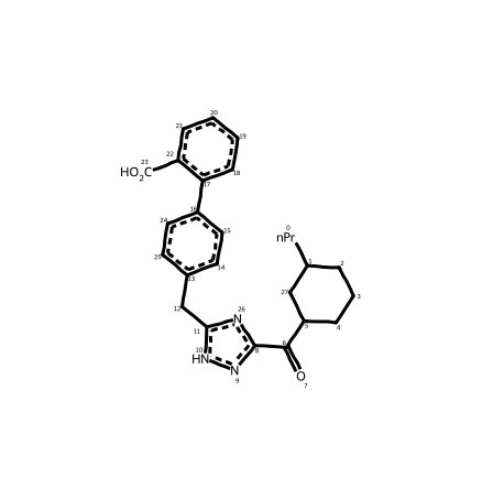 CCCC1CCCC(C(=O)c2n[nH]c(Cc3ccc(-c4ccccc4C(=O)O)cc3)n2)C1